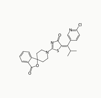 CC(C)/C(=C1\SC(N2CCC3(CC2)OC(=O)c2ccccc23)=NC1=O)c1ccc(Cl)nc1